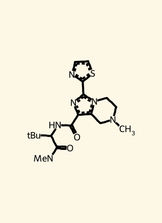 CNC(=O)C(NC(=O)c1nc(-c2nccs2)n2c1CN(C)CC2)C(C)(C)C